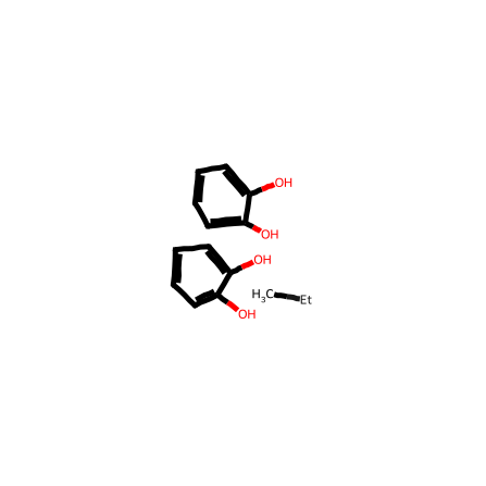 CCC.Oc1ccccc1O.Oc1ccccc1O